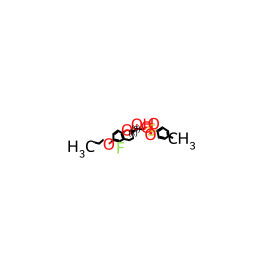 CCCCOc1ccc2c(c1F)CC[C@H]([C@@H](O)COS(=O)(=O)c1ccc(C)cc1)O2